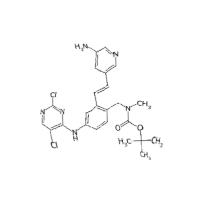 CN(Cc1ccc(Nc2nc(Cl)ncc2Cl)cc1/C=C/c1cncc(N)c1)C(=O)OC(C)(C)C